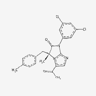 CC(=O)c1cnc2n1[C@](C)(Cc1ccc(C)cc1)C(=O)N2c1cc(Cl)cc(Cl)c1